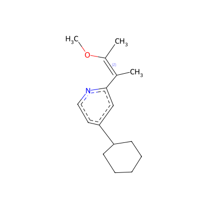 CO/C(C)=C(/C)c1cc(C2CCCCC2)ccn1